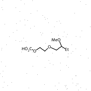 CCC(COCCOC(=O)O)OC